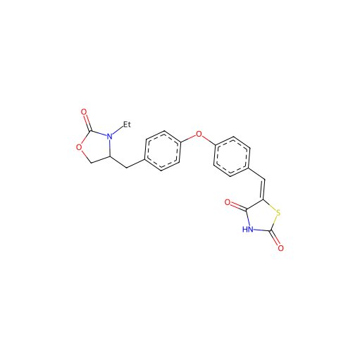 CCN1C(=O)OCC1Cc1ccc(Oc2ccc(C=C3SC(=O)NC3=O)cc2)cc1